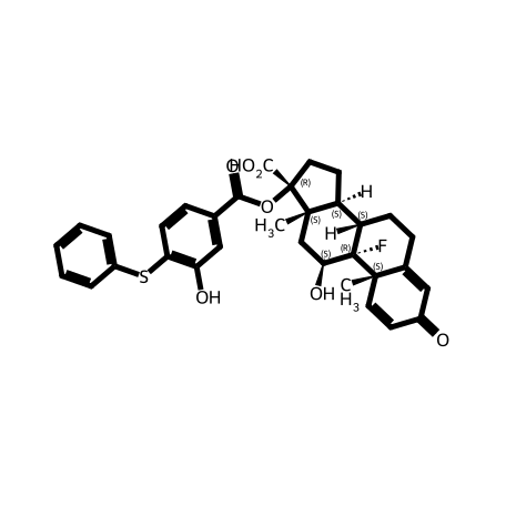 C[C@]12C=CC(=O)C=C1CC[C@H]1[C@@H]3CC[C@](OC(=O)c4ccc(Sc5ccccc5)c(O)c4)(C(=O)O)[C@@]3(C)C[C@H](O)[C@@]12F